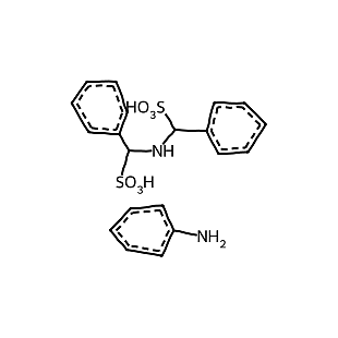 Nc1ccccc1.O=S(=O)(O)C(NC(c1ccccc1)S(=O)(=O)O)c1ccccc1